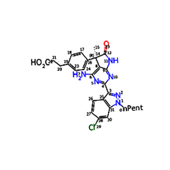 CCCCCn1nc(-c2nc(N)c3c(n2)NC(=O)[C@]3(C)c2ccc(CCC(=O)O)cc2)c2ccc(Cl)cc21